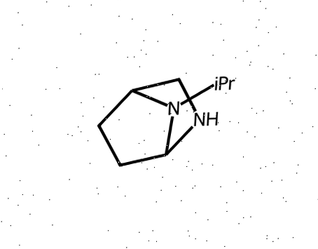 CC(C)N1C2CCC1NC2